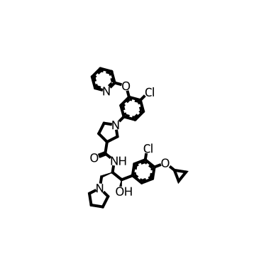 O=C(N[C@H](CN1CCCC1)[C@H](O)c1ccc(OC2CC2)c(Cl)c1)C1CCN(c2ccc(Cl)c(Oc3ccccn3)c2)C1